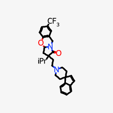 CC(C)C1(CCN2CCC3(C=Cc4ccccc43)CC2)CC2Oc3ccc(C(F)(F)F)cc3CN2C1=O